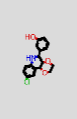 Oc1cccc(C2Nc3ccc(Cl)cc3C3OCCOC23)c1